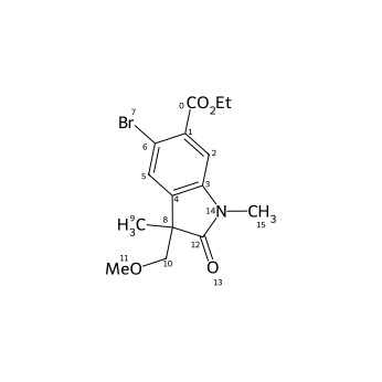 CCOC(=O)c1cc2c(cc1Br)C(C)(COC)C(=O)N2C